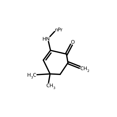 C=C1CC(C)(C)C=C(NCCC)C1=O